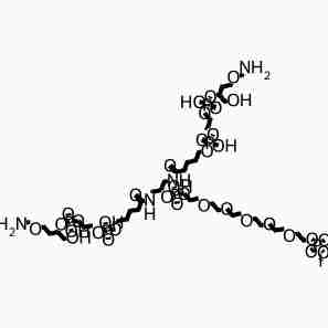 NCOCCC(CO)OP(=O)(O)OCCOP(=O)(O)OCCCCC(=O)NCC(CNC(=O)CCCCOP(=O)(O)OCCOP(=O)(O)OC(CO)CCOCN)OP(=O)(O)OCCOCCOCCOCCOCCOCCOP(=O)(O)OI